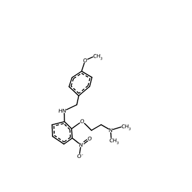 COc1ccc(CNc2cccc([N+](=O)[O-])c2OCCN(C)C)cc1